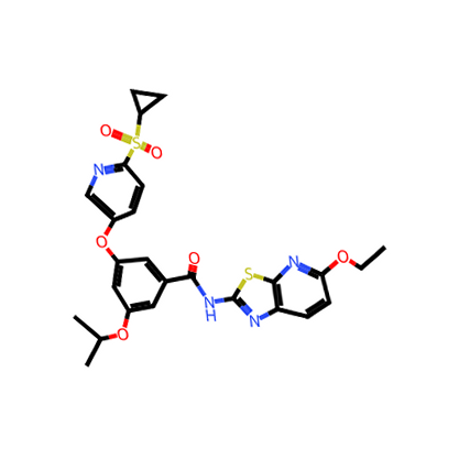 CCOc1ccc2nc(NC(=O)c3cc(Oc4ccc(S(=O)(=O)C5CC5)nc4)cc(OC(C)C)c3)sc2n1